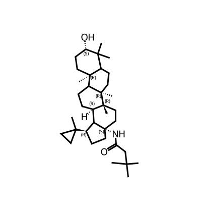 CC(C)(C)CC(=O)N[C@]12CC[C@@H](C3(C)CC3)C1[C@H]1CCC3[C@@]4(C)CC[C@H](O)C(C)(C)C4CC[C@@]3(C)[C@]1(C)CC2